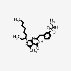 CCCCCCC(CC)n1nc(C)c2c(=O)[nH]c(Cc3cccc(S(=O)(=O)NC)c3)nc21